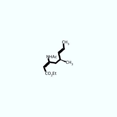 CC=C[C@@H](C)CC(=CC(=O)OCC)NC(C)=O